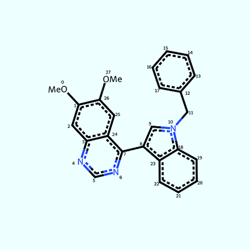 COc1cc2ncnc(-c3cn(Cc4ccccc4)c4ccccc34)c2cc1OC